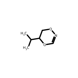 CC(C)C1CON=CO1